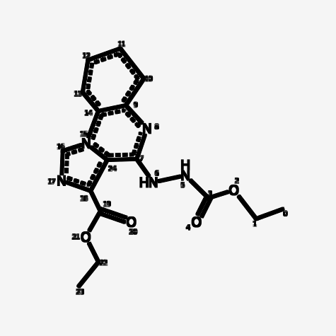 CCOC(=O)NNc1nc2ccccc2n2cnc(C(=O)OCC)c12